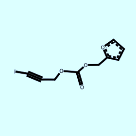 O=C(OCC#CI)OCc1ccco1